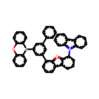 c1ccc(-c2cc(B3c4ccccc4Oc4ccccc43)cc(-c3cccc4c3oc3c(-n5c6ccccc6c6ccccc65)cccc34)c2)cc1